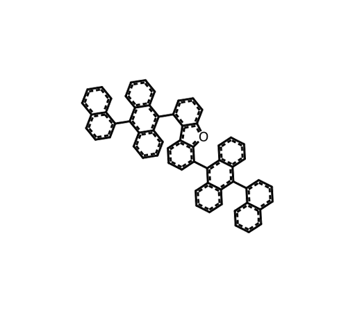 c1ccc2c(-c3c4ccccc4c(-c4cccc5c4oc4cccc(-c6c7ccccc7c(-c7cccc8ccccc78)c7ccccc67)c45)c4ccccc34)cccc2c1